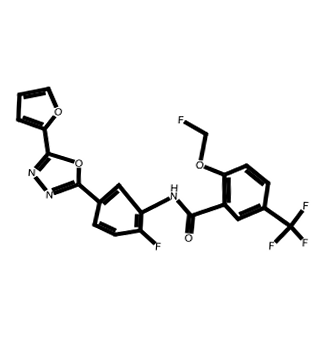 O=C(Nc1cc(-c2nnc(-c3ccco3)o2)ccc1F)c1cc(C(F)(F)F)ccc1OCF